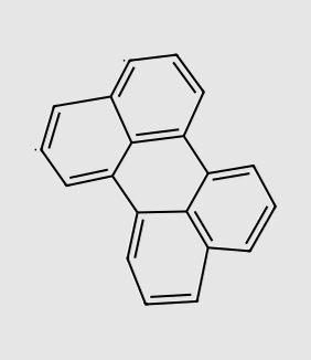 [c]1cc2[c]ccc3c4cccc5cccc(c(c1)c23)c54